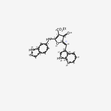 CCOC(=O)C1=C(Nc2ccc3cn[nH]c3c2)O/C(=C\c2c[nH]c3ncccc23)C1=O